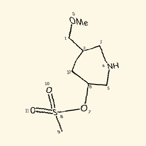 COCC1CNCC(OS(C)(=O)=O)C1